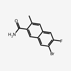 Cc1cc2cc(F)c(Br)cc2cc1C(N)=O